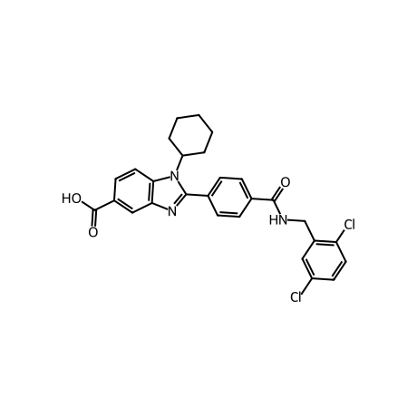 O=C(O)c1ccc2c(c1)nc(-c1ccc(C(=O)NCc3cc(Cl)ccc3Cl)cc1)n2C1CCCCC1